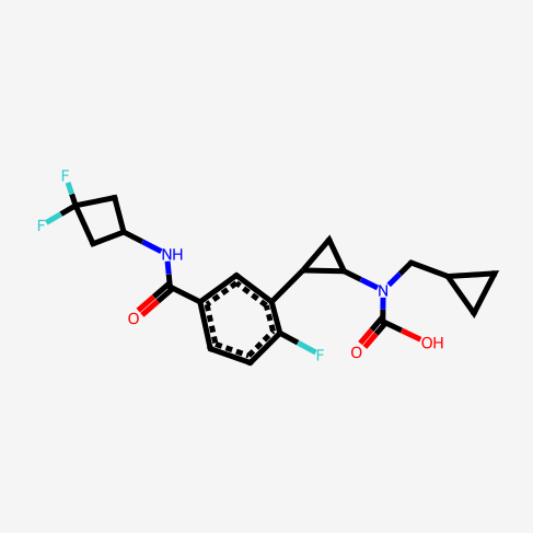 O=C(NC1CC(F)(F)C1)c1ccc(F)c(C2CC2N(CC2CC2)C(=O)O)c1